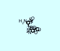 COCC(F)(F)c1cc(N)cc([C@@H](C)Nc2nc(C)nc3cc(OC)c(C4(O)CCOCC4)cc23)c1